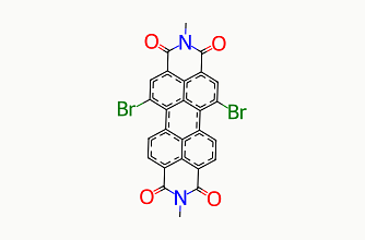 CN1C(=O)c2ccc3c4c(Br)cc5c6c(cc(Br)c(c7ccc(c2c37)C1=O)c64)C(=O)N(C)C5=O